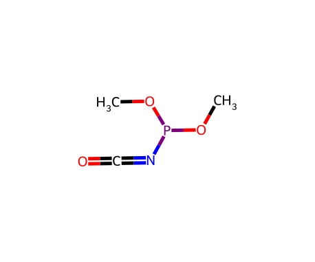 COP(N=C=O)OC